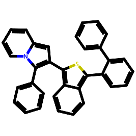 c1ccc(-c2ccccc2-c2sc(-c3cc4ccccn4c3-c3ccccc3)c3ccccc23)cc1